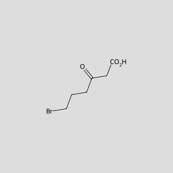 O=C(O)CC(=O)CCCBr